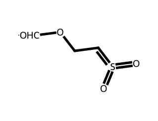 O=[C]OCC=S(=O)=O